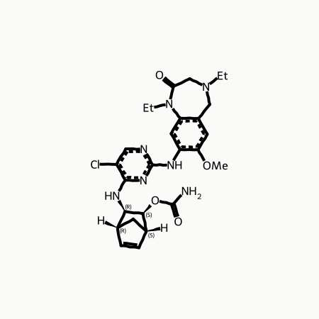 CCN1CC(=O)N(CC)c2cc(Nc3ncc(Cl)c(N[C@H]4[C@@H](OC(N)=O)[C@@H]5C=C[C@H]4C5)n3)c(OC)cc2C1